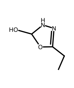 CCC1=NNC(O)O1